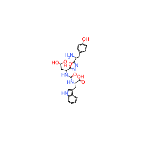 N[C@@H](Cc1ccc(O)cc1)c1nnc([C@H](CC(O)O)NC(=O)N[C@@H](Cc2c[nH]c3ccccc23)C(=O)O)o1